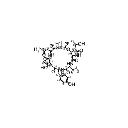 CCC(C)C1NC(=O)C(NC(=O)CC(C)O)C(C)OC(=O)C(C)NC(=O)C(CC(N)=O)NC(=O)C(C(C)O)NC(=O)C(Cc2ccc(O)cc2)NC1=O